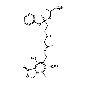 CCOC(=O)[C@H](C)OP(=O)(CCNC/C(C)=C/Cc1c(O)c2c(c(C)c1OC)COC2=O)Oc1ccccc1